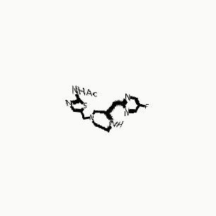 CC(=O)Nc1ncc(CN2CCNC(Cc3ncc(F)cn3)C2)s1